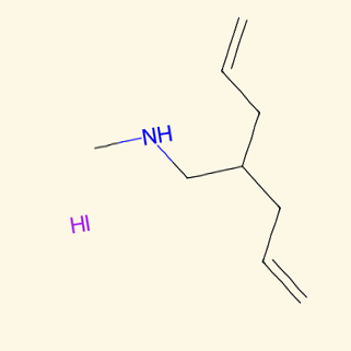 C=CCC(CC=C)CNC.I